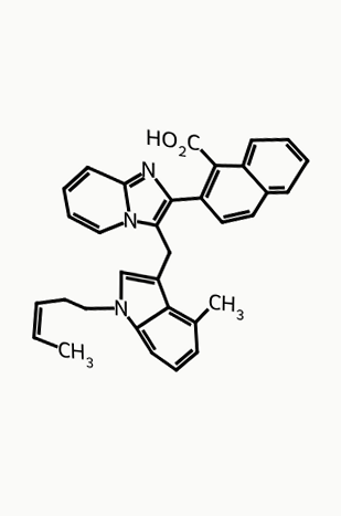 C/C=C\CCn1cc(Cc2c(-c3ccc4ccccc4c3C(=O)O)nc3ccccn23)c2c(C)cccc21